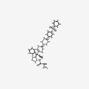 CNC(=O)O[C@@H]1CCC[C@H]1C(C#N)(c1ccccc1)C1CCN(C2CCN(c3ccc(S(=O)(=O)c4ccccc4)cc3)CC2)CC1